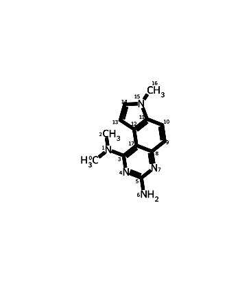 CN(C)c1nc(N)nc2ccc3c(ccn3C)c12